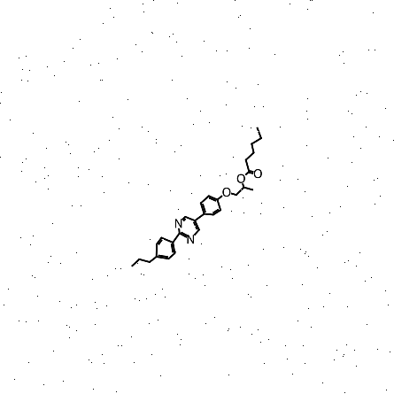 CCCCCC(=O)OC(C)COc1ccc(-c2cnc(-c3ccc(CCC)cc3)nc2)cc1